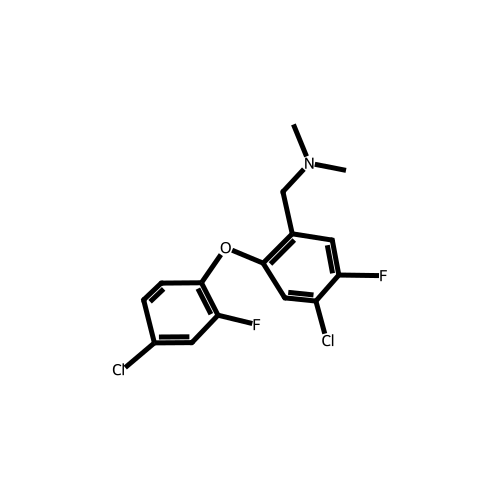 CN(C)Cc1cc(F)c(Cl)cc1Oc1ccc(Cl)cc1F